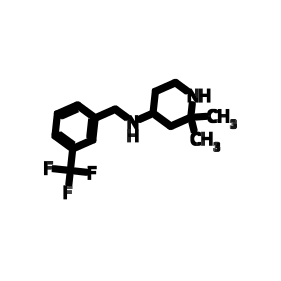 CC1(C)CC(NCc2cccc(C(F)(F)F)c2)CCN1